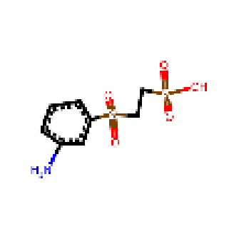 Nc1cccc(S(=O)(=O)CCS(=O)(=O)O)c1